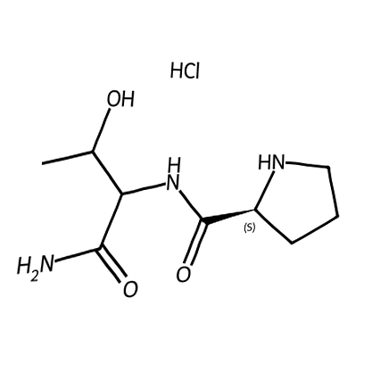 CC(O)C(NC(=O)[C@@H]1CCCN1)C(N)=O.Cl